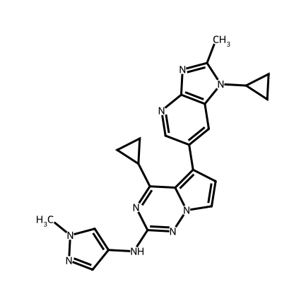 Cc1nc2ncc(-c3ccn4nc(Nc5cnn(C)c5)nc(C5CC5)c34)cc2n1C1CC1